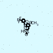 COc1cc(C=C2SC(=O)NC2=O)ccc1Oc1ccc(C(F)(F)F)cc1C#N